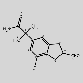 CC(C)(C(N)=O)c1cc(F)c2c(c1)CC(C=O)C2